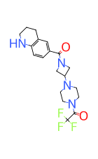 O=C(c1ccc2c(c1)CCCN2)N1CC(N2CCN(C(=O)C(F)(F)F)CC2)C1